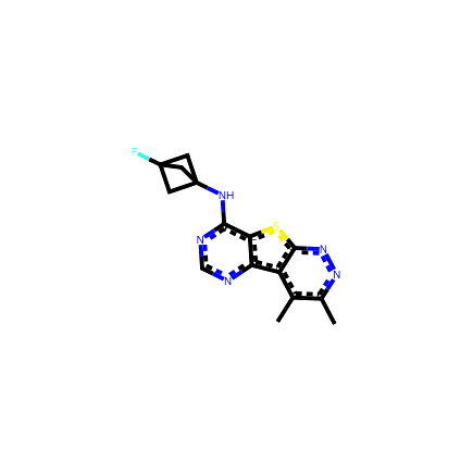 Cc1nnc2sc3c(NC45CC(F)(C4)C5)ncnc3c2c1C